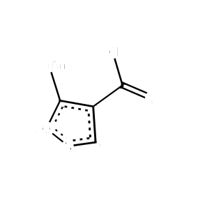 CC(C)(C)c1oncc1C(=O)Cl